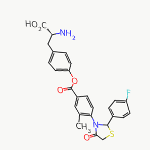 Cc1cc(C(=O)Oc2ccc(C[C@H](N)C(=O)O)cc2)ccc1N1C(=O)CSC1c1ccc(F)cc1